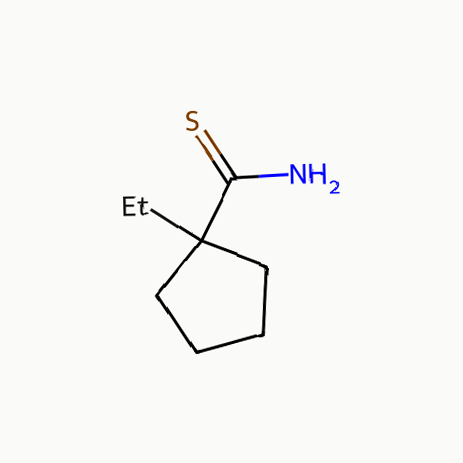 CCC1(C(N)=S)CCCC1